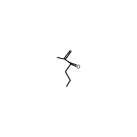 C=C(C)C(=O)CCC